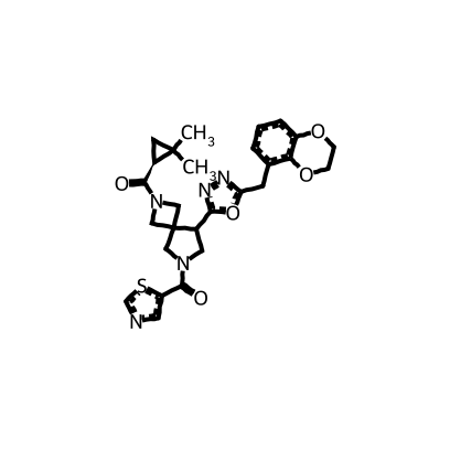 CC1(C)C[C@@H]1C(=O)N1CC2(CN(C(=O)c3cncs3)CC2c2nnc(Cc3cccc4c3OCCO4)o2)C1